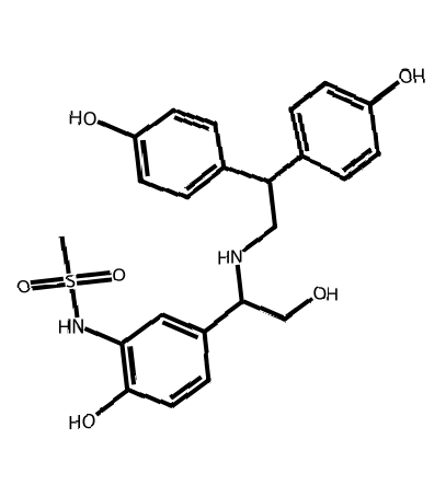 CS(=O)(=O)Nc1cc(C(CO)NCC(c2ccc(O)cc2)c2ccc(O)cc2)ccc1O